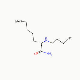 CNCCCC[C@H](NCCCC(C)C)C(N)=O